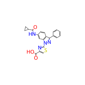 O=C(O)c1csc(-n2nc(-c3ccccc3)c3ccc(NC(=O)C4CC4)cc32)n1